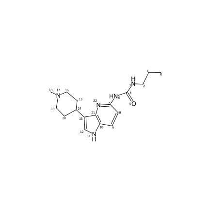 CCCNC(=O)Nc1ccc2[nH]cc(C3CCN(C)CC3)c2n1